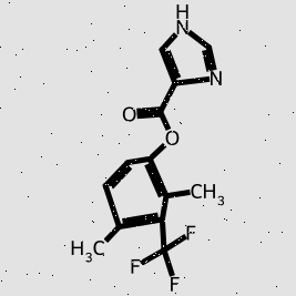 Cc1ccc(OC(=O)c2c[nH]cn2)c(C)c1C(F)(F)F